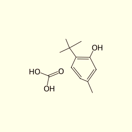 Cc1ccc(C(C)(C)C)c(O)c1.O=C(O)O